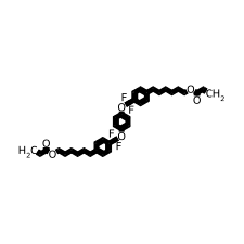 C=CC(=O)OCCCCCCc1ccc(C(F)(F)Oc2ccc(OC(F)(F)c3ccc(CCCCCCOC(=O)C=C)cc3)cc2)cc1